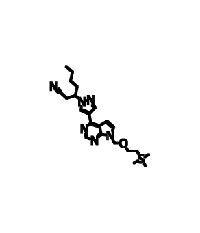 CCCCC(CC#N)n1cc(-c2ncnc3c2ccn3COCCS(C)(C)C)cn1